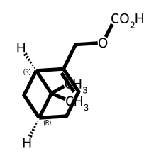 CC1(C)[C@H]2CC=C(COC(=O)O)[C@@H]1C2